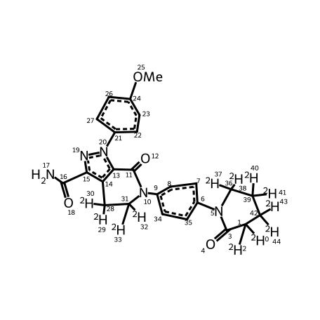 [2H]C1([2H])C(=O)N(c2ccc(N3C(=O)c4c(c(C(N)=O)nn4-c4ccc(OC)cc4)C([2H])([2H])C3([2H])[2H])cc2)C([2H])([2H])C([2H])([2H])C1([2H])[2H]